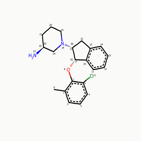 Cc1cccc(Cl)c1O[C@H]1c2ccccc2C[C@H]1N1CCC[C@H](N)C1